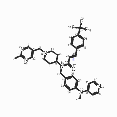 Cc1ncc(CN2CCC(N(Cc3ccc(N(C)c4ccncc4)cc3)C(=O)/C=C/c3ccc(C(F)(F)F)cc3)CC2)cn1